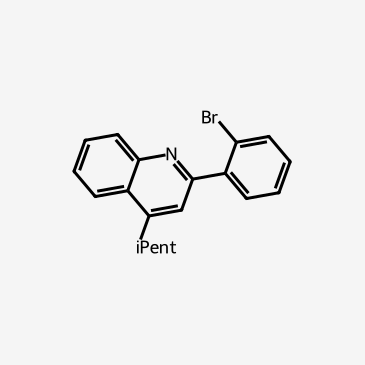 CCCC(C)c1cc(-c2ccccc2Br)nc2ccccc12